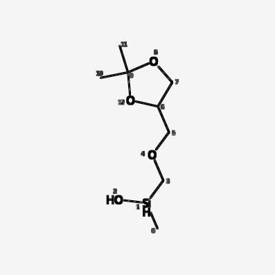 C[SiH](O)COCC1COC(C)(C)O1